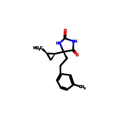 Cc1cccc(CC[C@@]2([C@@H]3C[C@H]3C(=O)O)NC(=O)NC2=O)c1